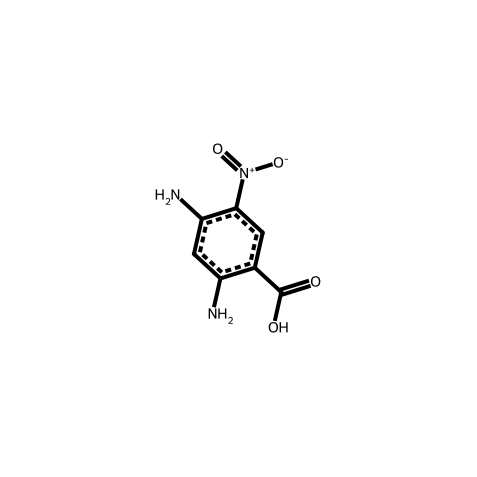 Nc1cc(N)c([N+](=O)[O-])cc1C(=O)O